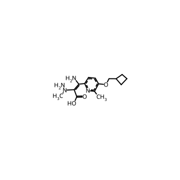 Cc1nc(/C(N)=C(\C(=O)O)N(C)N)ccc1OCC1CCC1